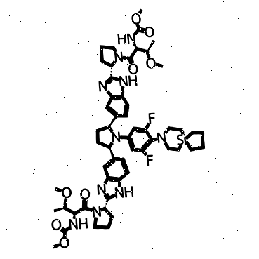 COC(=O)N[C@H](C(=O)N1CCC[C@H]1c1nc2cc([C@H]3CC[C@@H](c4ccc5[nH]c([C@@H]6CCCN6C(=O)[C@@H](NC(=O)OC)[C@@H](C)OC)nc5c4)N3c3cc(F)c(N4CC[Si]5(CCCC5)CC4)c(F)c3)ccc2[nH]1)[C@@H](C)OC